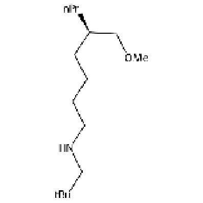 CCC[C@H](CCCCNCC(C)(C)C)COC